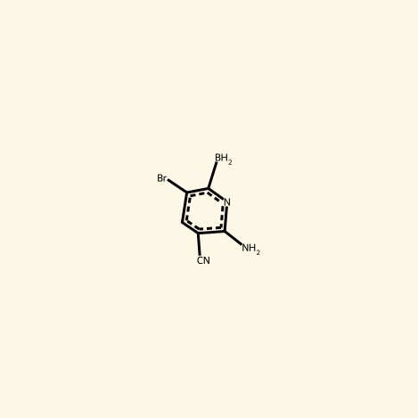 Bc1nc(N)c(C#N)cc1Br